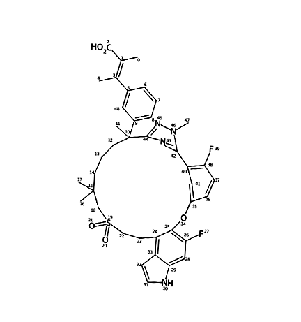 C/C(C(=O)O)=C(/C)c1cccc(C2(C)CCCC(C)(C)CS(=O)(=O)CCc3c(c(F)cc4[nH]ccc34)Oc3ccc(F)c(c3)-c3nc2nn3C)c1